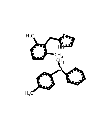 CB(c1ccccc1)c1ccc(C)cc1.Cc1cccc(C)c1Cc1ncc[nH]1